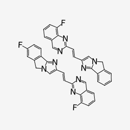 Fc1ccc2c(c1)Cn1cc(/C=C/c3ncc4cccc(F)c4n3)nc1-2.Fc1cccc2cnc(/C=C/c3cn4c(n3)-c3ccccc3C4)nc12